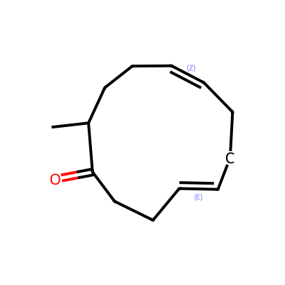 CC1CC/C=C\CC/C=C/CCC1=O